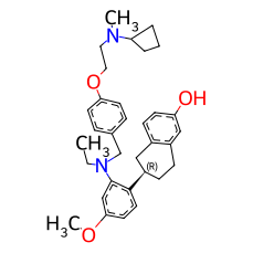 CCN(Cc1ccc(OCCN(C)C2CCC2)cc1)c1cc(OC)ccc1[C@@H]1CCc2cc(O)ccc2C1